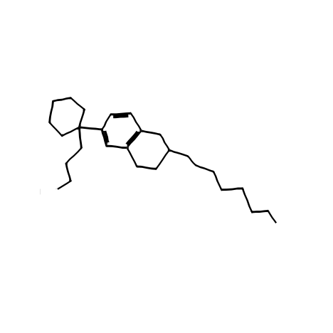 CCCCCCCCC1CCc2cc(C3(CCCC)CCCCC3)ccc2C1